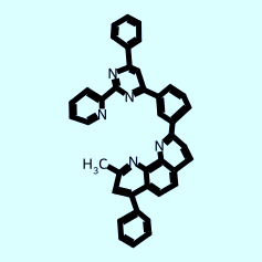 Cc1cc(-c2ccccc2)c2ccc3ccc(-c4cccc(-c5cc(-c6ccccc6)nc(-c6ccccn6)n5)c4)nc3c2n1